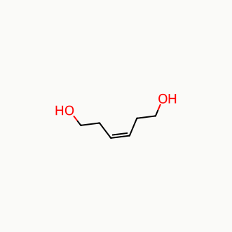 OCC/C=C\CCO